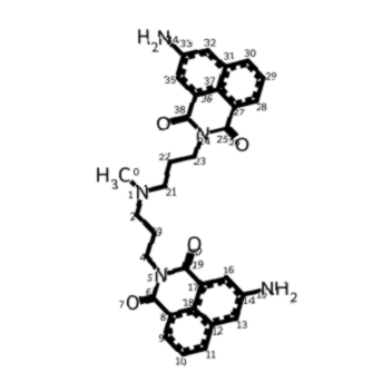 CN(CCCN1C(=O)c2cccc3cc(N)cc(c23)C1=O)CCCN1C(=O)c2cccc3cc(N)cc(c23)C1=O